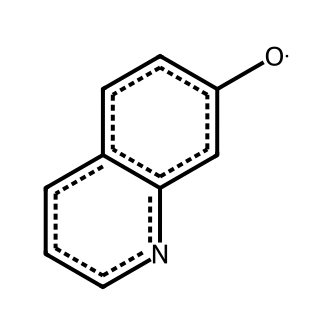 [O]c1ccc2cccnc2c1